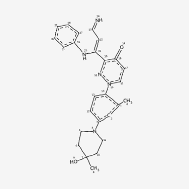 Cc1cc(N2CCC(C)(O)CC2)ccc1-n1ccc(=O)c(/C(=C/C=N)Nc2ccccc2)n1